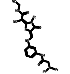 CCn1c(=C(C#N)C(=O)NCC#N)sc(=CNc2cccc(NC(=O)CN(C(C)C)C(C)C)c2)c1=O